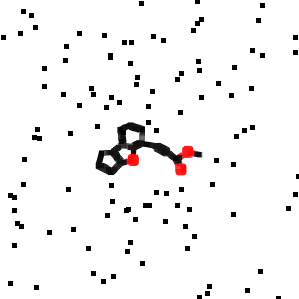 COC(=O)C#Cc1cccc2c3c(oc12)C=CC3